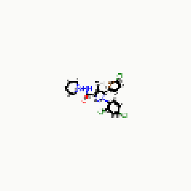 C[C@H]1C(C(=O)NN2CCCCC2)=NN(c2ccc(Cl)cc2Cl)[C@@H]1c1ccc(Cl)s1